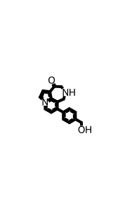 O=C1CNCc2c(-c3ccc(CO)cc3)ccn3ccc1c23